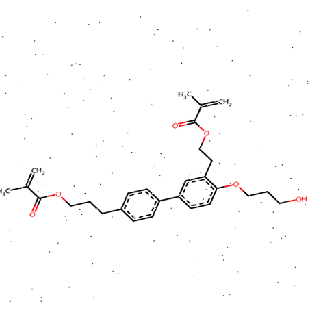 C=C(C)C(=O)OCCCc1ccc(-c2ccc(OCCCO)c(CCOC(=O)C(=C)C)c2)cc1